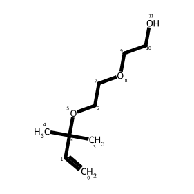 C=CC(C)(C)OCCOCCO